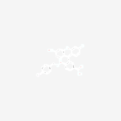 O=C(O)c1ccc(C(=O)OCc2ccc(Cl)cc2)c(-c2c3ccc(=O)cc-3oc3cc(O)ccc23)c1